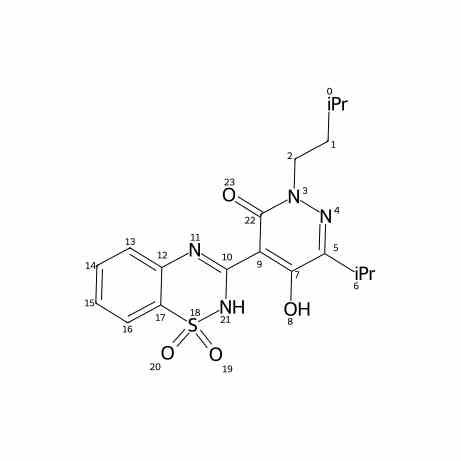 CC(C)CCn1nc(C(C)C)c(O)c(C2=Nc3ccccc3S(=O)(=O)N2)c1=O